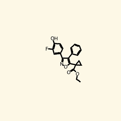 CCOC(=O)C1(c2onc(-c3ccc(O)c(F)c3)c2-c2ccccc2)CC1